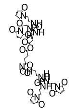 O=C(CCNP(=O)(NCCN1C(=O)C=CC1=O)NCCN1C(=O)C=CC1=O)OC(=O)CC/C(=N/O)OC(=O)CCNP(=O)(NCCN1C(=O)C=CC1=O)NCCN1C(=O)C=CC1=O